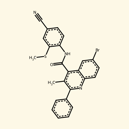 CSc1cc(C#N)ccc1NC(=O)c1c(C)c(-c2ccccc2)nc2ccc(Br)cc12